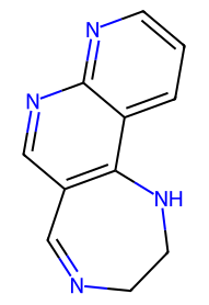 C1=NCCNc2c1cnc1ncccc21